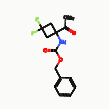 COC(=O)C1(NC(=O)OCc2ccccc2)CC(F)(F)C1